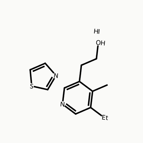 CCc1cncc(CCO)c1C.I.c1cscn1